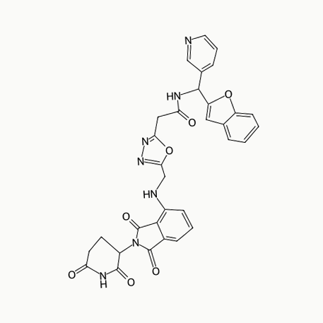 O=C1CCC(N2C(=O)c3cccc(NCc4nnc(CC(=O)NC(c5cccnc5)c5cc6ccccc6o5)o4)c3C2=O)C(=O)N1